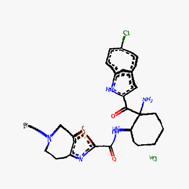 CC(C)N1CCc2nc(C(=O)NC3CCCCC3(N)C(=O)c3cc4cc(Cl)ccc4[nH]3)sc2C1.Cl